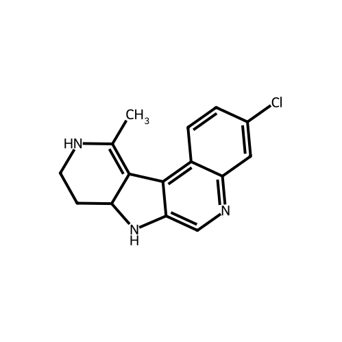 CC1=C2c3c(cnc4cc(Cl)ccc34)NC2CCN1